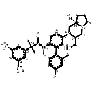 Cc1cc(F)ccc1-c1cc(N2C[C@H]3CCCN3C[C@H]2CO)ncc1N(C)C(=O)C(C)(C)c1cc(C(F)(F)F)cc(C(F)(F)F)c1